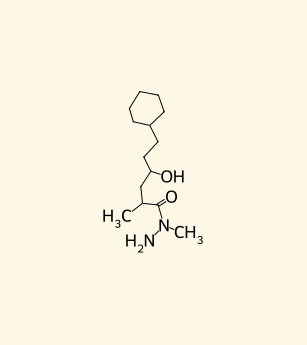 CC(CC(O)CCC1CCCCC1)C(=O)N(C)N